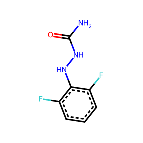 NC(=O)NNc1c(F)cccc1F